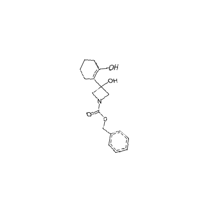 O=C(OCc1ccccc1)N1CC(O)(C2=C(O)CCCC2)C1